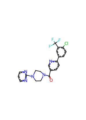 O=C(c1ccc(-c2ccc(Cl)c(C(F)(F)F)c2)nc1)N1CCN(c2ncccn2)CC1